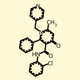 Cc1cc(=O)c(C(=O)Nc2ccccc2Cl)c(-c2ccccc2)n1Cc1ccncc1